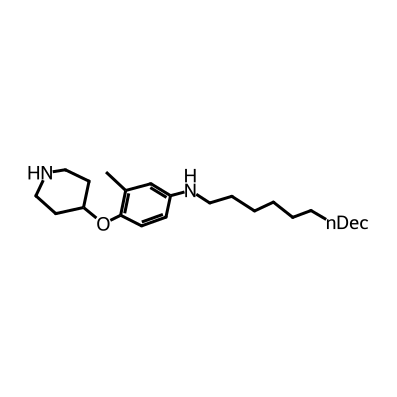 CCCCCCCCCCCCCCCCNc1ccc(OC2CCNCC2)c(C)c1